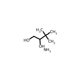 CC(C)(C)C(O)CO.N